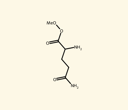 COOC(=O)C(N)CCC(N)=O